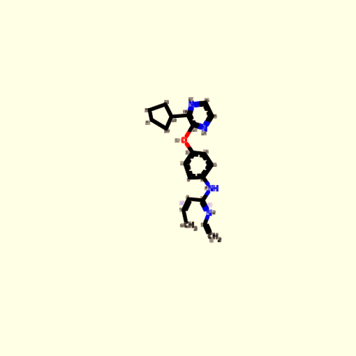 C=C/N=C(\C=C/C)Nc1ccc(Oc2nccnc2C2CCCC2)cc1